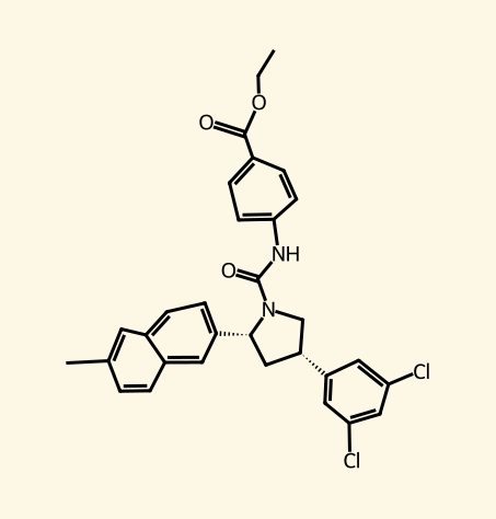 CCOC(=O)c1ccc(NC(=O)N2C[C@H](c3cc(Cl)cc(Cl)c3)C[C@@H]2c2ccc3cc(C)ccc3c2)cc1